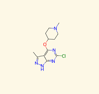 Cc1n[nH]c2nc(Cl)nc(OC3CCN(C)CC3)c12